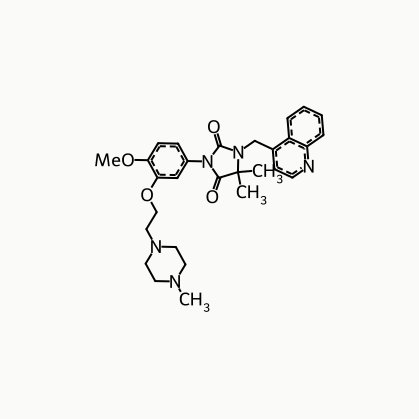 COc1ccc(N2C(=O)N(Cc3ccnc4ccccc34)C(C)(C)C2=O)cc1OCCN1CCN(C)CC1